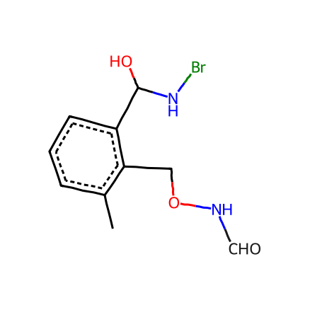 Cc1cccc(C(O)NBr)c1CONC=O